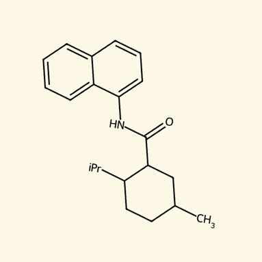 CC1CCC(C(C)C)C(C(=O)Nc2cccc3ccccc23)C1